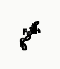 COc1cnc(NC(=O)Nc2cc(F)cc(OC3CCCN(C(C)=O)C3)c2)cn1